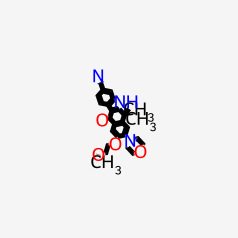 COCCOc1cc2c(cc1N1CCOCC1)C(C)(C)c1[nH]c3cc(C#N)ccc3c1C2=O